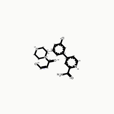 NC(=O)c1cc(-c2cc(Cl)cc([C@H]3COCCN3C(=O)/C=C\Cl)c2)ccn1